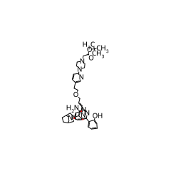 CC(C)(C)OC(=O)CN1CCN(c2ccc(CCOC/C=C/c3cc(N4C5CCC4CN(c4cc(-c6ccccc6O)nnc4N)C5)ccn3)cn2)CC1